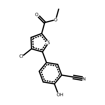 COC(=O)c1cc(Cl)c(-c2ccc(O)c(C#N)c2)s1